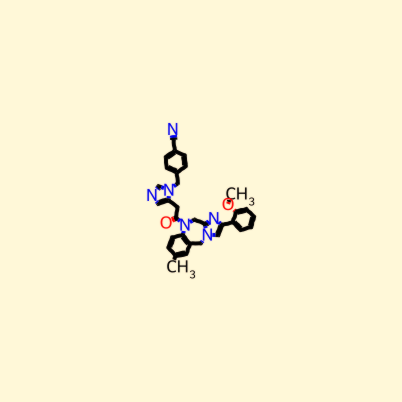 COc1ccccc1-c1cn2c(n1)CN(C(=O)Cc1cncn1Cc1ccc(C#N)cc1)c1ccc(C)cc1C2